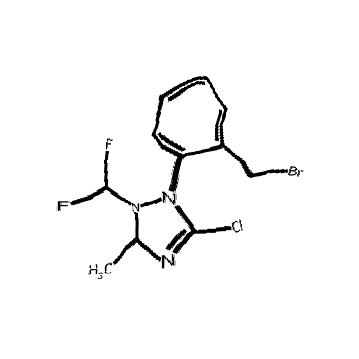 CC1N=C(Cl)N(c2ccccc2CBr)N1C(F)F